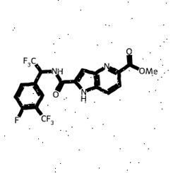 COC(=O)c1ccc2[nH]c(C(=O)NC(c3ccc(F)c(C(F)(F)F)c3)C(F)(F)F)cc2n1